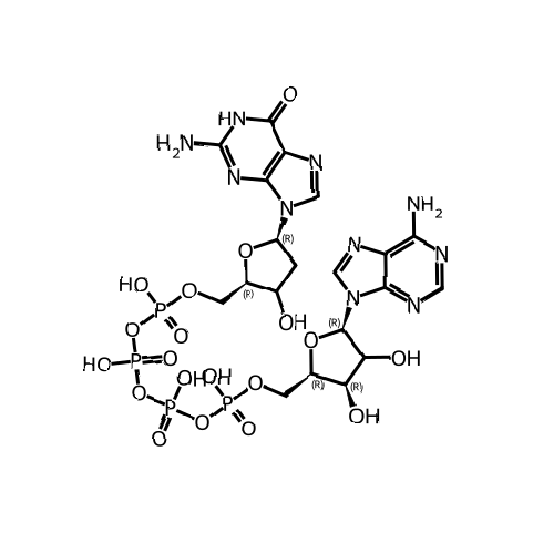 Nc1nc2c(ncn2[C@H]2CC(O)[C@@H](COP(=O)(O)OP(=O)(O)OP(=O)(O)OP(=O)(O)OC[C@H]3O[C@@H](n4cnc5c(N)ncnc54)C(O)[C@H]3O)O2)c(=O)[nH]1